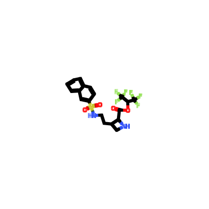 O=C(OC(C(F)(F)F)C(F)(F)F)C1NCC1CCNS(=O)(=O)c1ccc2ccccc2c1